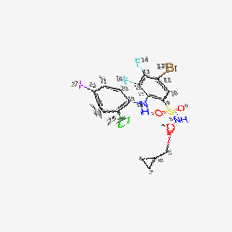 O=S(=O)(NOCC1CC1)c1cc(Br)c(F)c(F)c1Nc1ccc(I)cc1Cl